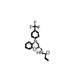 C=CC(=O)NC[C@@H]1CN(c2ccc(C(F)(F)F)cc2)c2ccccc2O1